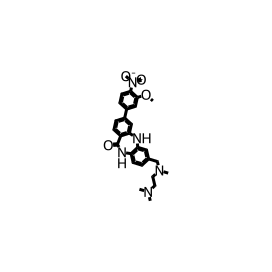 COc1cc(-c2ccc3c(c2)Nc2cc(CN(C)CCN(C)C)ccc2NC3=O)ccc1[N+](=O)[O-]